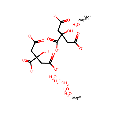 O.O.O.O.O.O.O=C([O-])CC(O)(CC(=O)[O-])C(=O)[O-].O=C([O-])CC(O)(CC(=O)[O-])C(=O)[O-].[Mg+2].[Mg+2].[Mg+2]